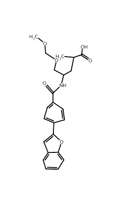 COCOCC(CC(C)C(=O)O)NC(=O)c1ccc(-c2cc3ccccc3o2)cc1